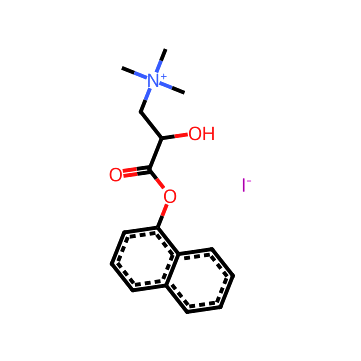 C[N+](C)(C)CC(O)C(=O)Oc1cccc2ccccc12.[I-]